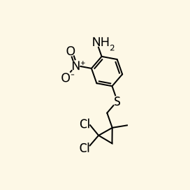 CC1(CSc2ccc(N)c([N+](=O)[O-])c2)CC1(Cl)Cl